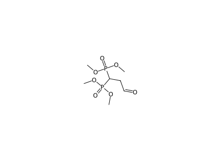 COP(=O)(OC)C(CC=O)P(=O)(OC)OC